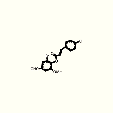 COc1cc(C=O)cc(Br)c1OC(=O)/C=C/c1ccc(Cl)cc1